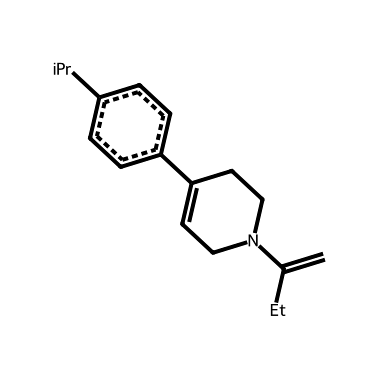 C=C(CC)N1CC=C(c2ccc(C(C)C)cc2)CC1